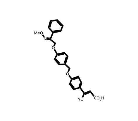 CON=C(COc1ccc(COc2ccc(C(C#N)=CC(=O)O)cc2)cc1)c1ccccc1